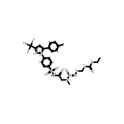 CCOC(=O)OCO/N=[N+](\[O-])N(C)CC(=O)NS(=O)(=O)c1ccc(-n2nc(C(F)(F)F)cc2-c2ccc(C)cc2)cc1